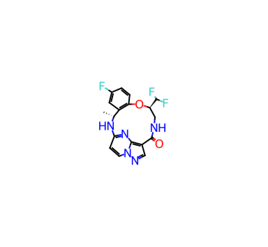 C[C@H]1Nc2ccn3ncc(c3n2)C(=O)NC[C@H](C(F)F)Oc2ccc(F)cc21